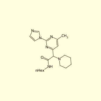 CCCCCCNC(=O)C(c1cc(C)nc(-n2ccnc2)n1)N1CCCCC1